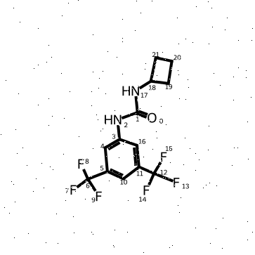 O=C(Nc1cc(C(F)(F)F)cc(C(F)(F)F)c1)NC1CCC1